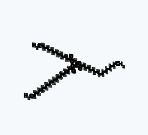 CCCCCCCC/C=C\CCCCCCCC(=O)O[C@H](COC(=O)CCCCCCCCCCCCC)COC(=O)CCCCCCCCCCCCCCCCCCCCC